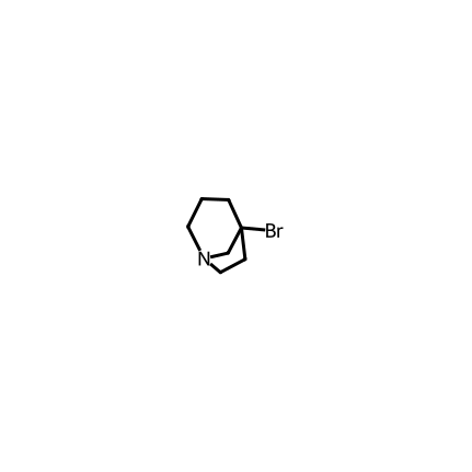 BrC12CCCN(CC1)C2